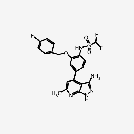 Cc1cc(-c2ccc(NS(=O)(=O)C(F)F)c(OCc3ccc(F)cc3)c2)c2c(N)n[nH]c2n1